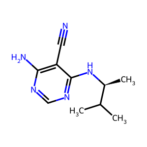 CC(C)[C@H](C)Nc1ncnc(N)c1C#N